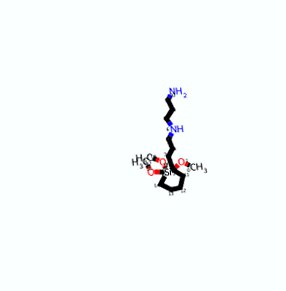 COC1(CCCNCCCN)CCCC[Si]1(OC)OC